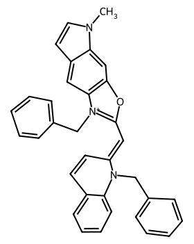 Cn1ccc2cc3c(cc21)oc(C=C1C=Cc2ccccc2N1Cc1ccccc1)[n+]3Cc1ccccc1